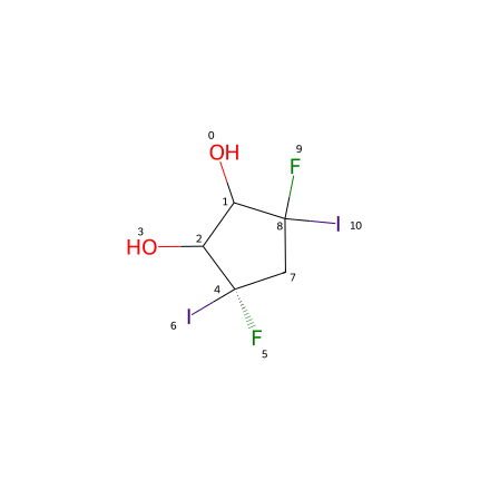 OC1C(O)[C@](F)(I)CC1(F)I